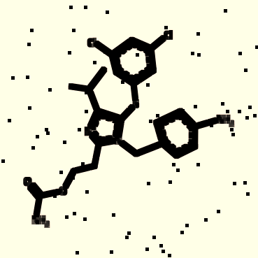 CC(C)c1nc(CCOC(N)=O)n(Cc2ccc(N)cc2)c1Sc1cc(Cl)cc(Cl)c1